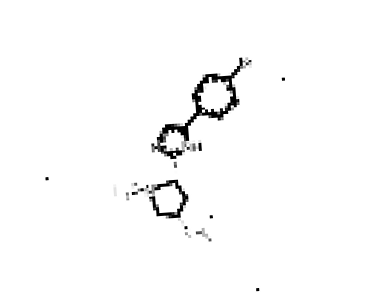 C[C@H]1C[C@@H](c2ncc(-c3ccc(Br)cc3)[nH]2)N(C)C1